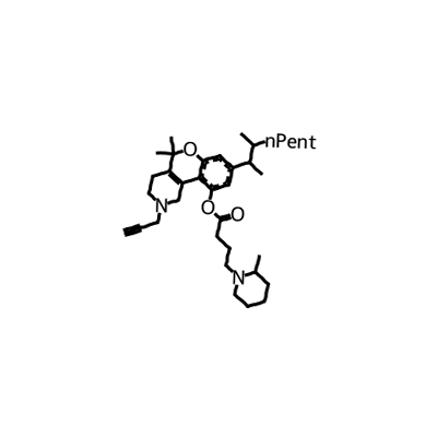 C#CCN1CCC2=C(C1)c1c(OC(=O)CCCN3CCCCC3C)cc(C(C)C(C)CCCCC)cc1OC2(C)C